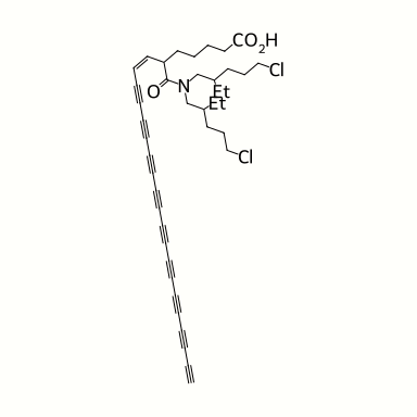 C#CC#CC#CC#CC#CC#CC#CC#CC#C/C=C\C(CCCCC(=O)O)C(=O)N(CC(CC)CCCCl)CC(CC)CCCCl